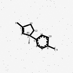 CC1=C[C@](C)(c2ccc(I)cc2)CC1